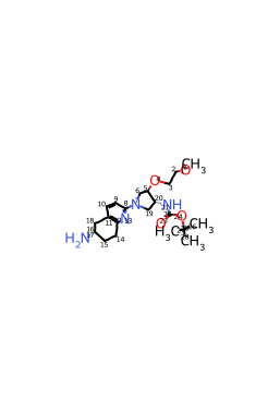 COCCO[C@@H]1CN(c2ccc3c(n2)CC[C@H](N)C3)C[C@H]1NC(=O)OC(C)(C)C